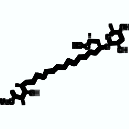 CO[C@@H](C)[C@H](C)[C@H](O)[C@@H](C)/C=C/C=C/C=C/C=C/C=C/C=C/C=C/[C@@H](C[C@@H](C)OO)O[C@H]1O[C@@H](C)[C@@H](O)C[C@@H]1O